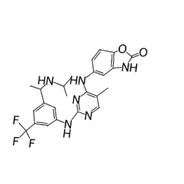 Cc1cnc(Nc2cc(C(C)NC(C)C)cc(C(F)(F)F)c2)nc1Nc1ccc2oc(=O)[nH]c2c1